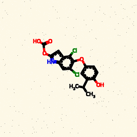 CC(C)c1cc(Oc2c(Cl)cc3[nH]c(OC(=O)O)cc3c2Cl)ccc1O